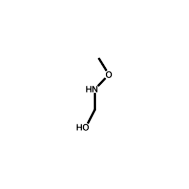 CONCO